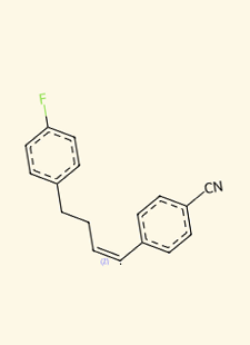 N#Cc1ccc(/[C]=C\CCc2ccc(F)cc2)cc1